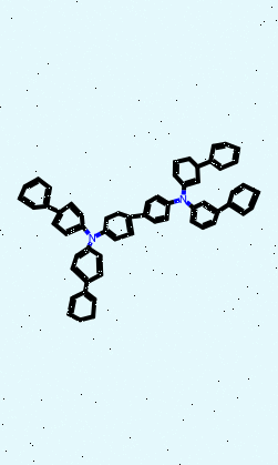 C1=CC(c2ccc(N(C3=CC=C(c4ccc(N(C5=CC(c6ccccc6)CC=C5)c5cccc(-c6ccccc6)c5)cc4)CC3)c3ccc(-c4ccccc4)cc3)cc2)=CCC1